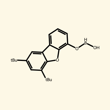 CC(C)(C)c1cc(C(C)(C)C)c2oc3c(OBO)cccc3c2c1